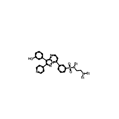 CCN(CC)CCN(CC)S(=O)(=O)c1cccc(-c2ccnc3c(-c4cccc(O)c4)c(-c4ccncc4)nn23)c1